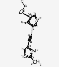 Cc1nc(C#Cc2cncc(OCF)c2)cs1